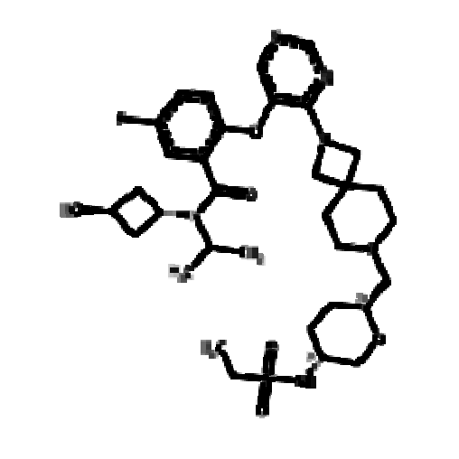 CCS(=O)(=O)N[C@@H]1CC[C@@H](CN2CCC3(CC2)CN(c2ncncc2Oc2ccc(F)cc2C(=O)N(C(C)C)[C@H]2C[C@H](O)C2)C3)OC1